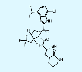 N#C[C@H](C[C@@H]1CCCNC1=O)NC(=O)[C@@H]1[C@@H]2CC(F)(F)C[C@@H]2CN1C(=O)c1cc2c(C(F)F)ccc(Cl)c2[nH]1